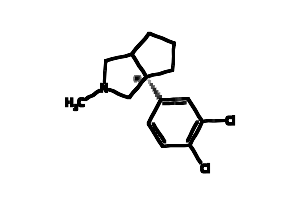 CN1CC2CCC[C@@]2(c2ccc(Cl)c(Cl)c2)C1